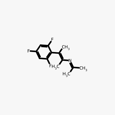 CC(C)=N/C(C)=C(\C)c1c(F)cc(F)cc1F